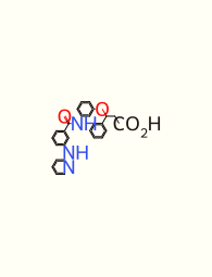 O=C(O)CC(Oc1cccc(NC(=O)c2cccc(Nc3ccccn3)c2)c1)c1ccccc1